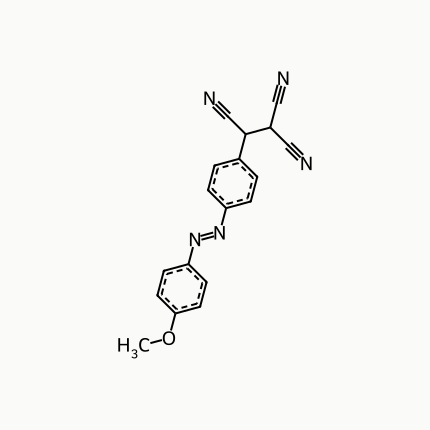 COc1ccc(N=Nc2ccc(C(C#N)C(C#N)C#N)cc2)cc1